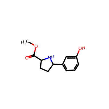 COC(=O)C1CCC(c2cccc(O)c2)N1